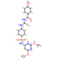 COc1cc(NS(=O)(=O)c2ccc(NC(=S)NC(=O)c3ccc(O)cc3)cc2)nc(OC)n1